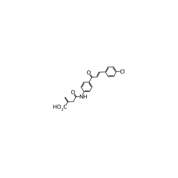 C=C(CC(=O)Nc1ccc(C(=O)C=Cc2ccc(Cl)cc2)cc1)C(=O)O